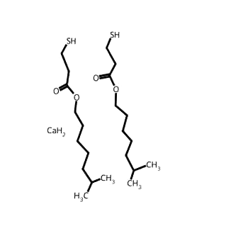 CC(C)CCCCCOC(=O)CCS.CC(C)CCCCCOC(=O)CCS.[CaH2]